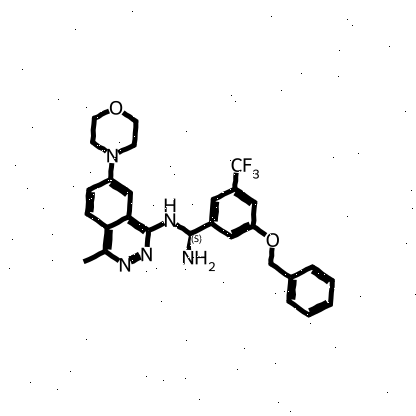 Cc1nnc(N[C@H](N)c2cc(OCc3ccccc3)cc(C(F)(F)F)c2)c2cc(N3CCOCC3)ccc12